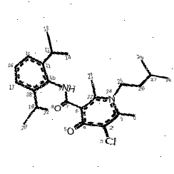 Cc1c(Cl)c(=O)c(C(=O)Nc2c(C(C)C)cccc2C(C)C)c(C)n1CCC(C)C